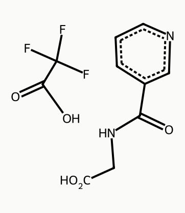 O=C(O)C(F)(F)F.O=C(O)CNC(=O)c1cccnc1